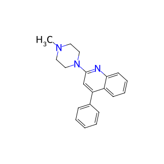 CN1CCN(c2cc(-c3ccccc3)c3ccccc3n2)CC1